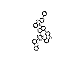 c1ccc(-c2ccc3c(c2)Sc2ccccc2N3c2ccc(-c3ccc4oc5cccc(-c6nc(-c7ccccc7)nc(-c7cccc8c7sc7ccccc78)n6)c5c4c3)cc2)cc1